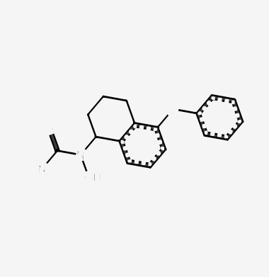 NC(=O)N(O)C1CCCc2c(Oc3ccccc3)cccc21